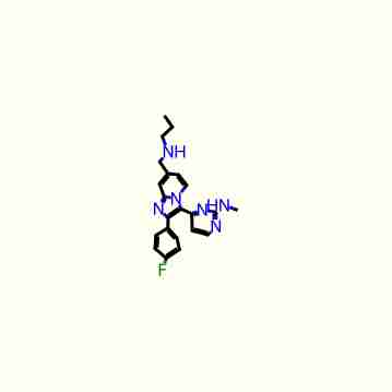 CCCNCc1ccn2c(-c3ccnc(NC)n3)c(-c3ccc(F)cc3)nc2c1